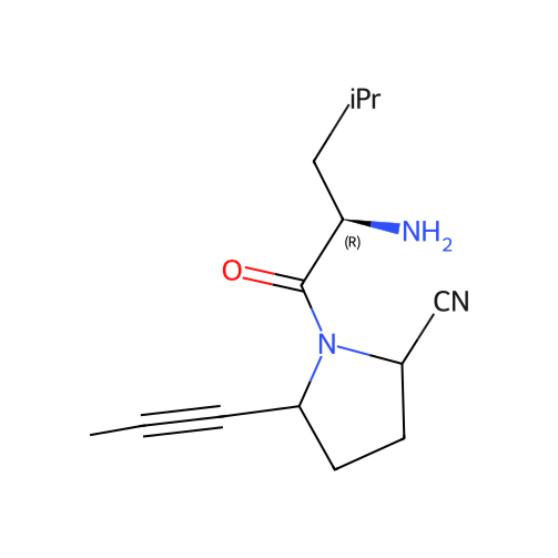 CC#CC1CCC(C#N)N1C(=O)[C@H](N)CC(C)C